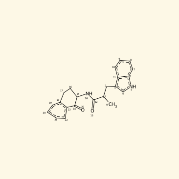 C[C](Cc1c[nH]c2ccccc12)C(=O)NC1CCc2ccccc2C1=O